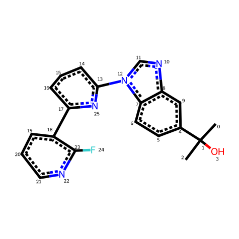 CC(C)(O)c1ccc2c(c1)ncn2-c1cccc(-c2cccnc2F)n1